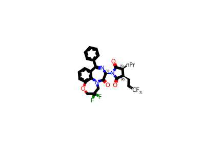 CCC[C@@H]1C(=O)N([C@@H]2N=C(c3ccccc3)c3cccc4c3N(CC(F)(F)CO4)C2=O)C(=O)[C@@H]1CCC(F)(F)F